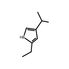 CCC1=CC(C(C)C)=CB1